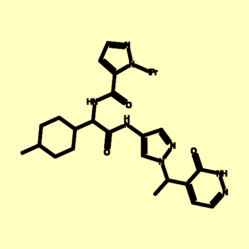 CC1CCC(C(NC(=O)c2ccnn2C(C)C)C(=O)Nc2cnn(C(C)c3ccn[nH]c3=O)c2)CC1